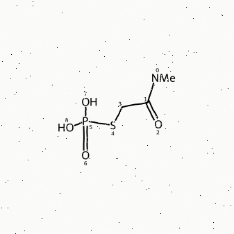 CNC(=O)CSP(=O)(O)O